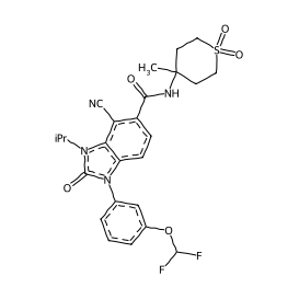 CC(C)n1c(=O)n(-c2cccc(OC(F)F)c2)c2ccc(C(=O)NC3(C)CCS(=O)(=O)CC3)c(C#N)c21